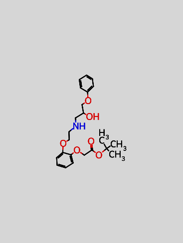 CC(C)(C)OC(=O)COc1ccccc1OCCNCC(O)COc1ccccc1